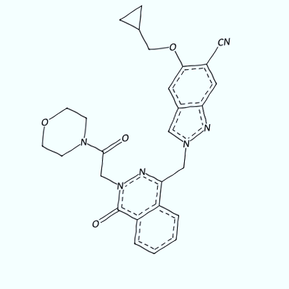 N#Cc1cc2nn(Cc3nn(CC(=O)N4CCOCC4)c(=O)c4ccccc34)cc2cc1OCC1CC1